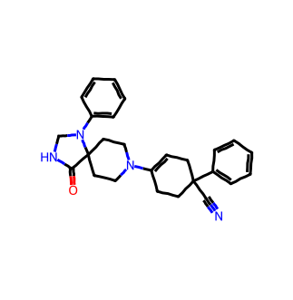 N#CC1(c2ccccc2)CC=C(N2CCC3(CC2)C(=O)NCN3c2ccccc2)CC1